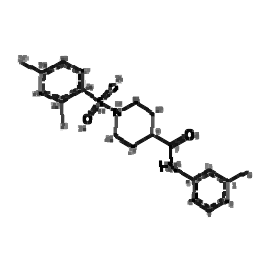 Cc1cccc(NC(=O)C2CCN(S(=O)(=O)c3ccc(C)cc3C)CC2)c1